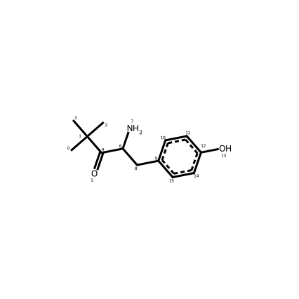 CC(C)(C)C(=O)C(N)Cc1ccc(O)cc1